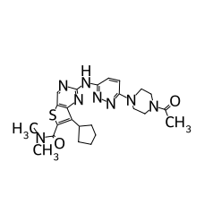 CC(=O)N1CCN(c2ccc(Nc3ncc4sc(C(=O)N(C)C)c(C5CCCC5)c4n3)nn2)CC1